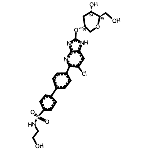 O=S(=O)(NCCO)c1ccc(-c2ccc(-c3nc4nc(O[C@H]5CO[C@H](CO)[C@@H](O)C5)[nH]c4cc3Cl)cc2)cc1